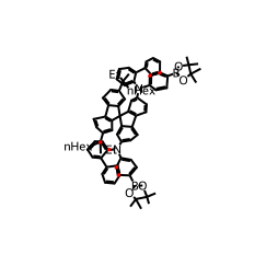 CCCCCCC(C)(CC)c1ccc2c(c1)C1(c3cc(N(c4ccc(B5OC(C)(C)C(C)(C)O5)cc4)c4ccccc4-c4ccccc4)ccc3-c3ccc(N(c4ccc(B5OC(C)(C)C(C)(C)O5)cc4)c4ccccc4-c4ccccc4)cc31)c1cc(C(C)(CC)CCCCCC)ccc1-2